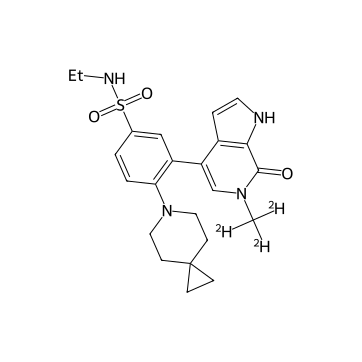 [2H]C([2H])([2H])n1cc(-c2cc(S(=O)(=O)NCC)ccc2N2CCC3(CC2)CC3)c2cc[nH]c2c1=O